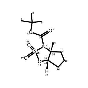 CC(C)(C)OC(=O)N1[C@]2(C)CCC[C@@H]2OS1(=O)=O